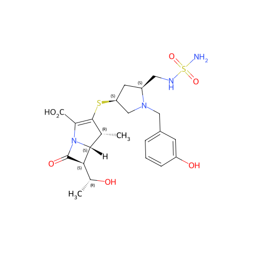 C[C@@H](O)[C@H]1C(=O)N2C(C(=O)O)=C(S[C@H]3C[C@@H](CNS(N)(=O)=O)N(Cc4cccc(O)c4)C3)[C@H](C)[C@H]12